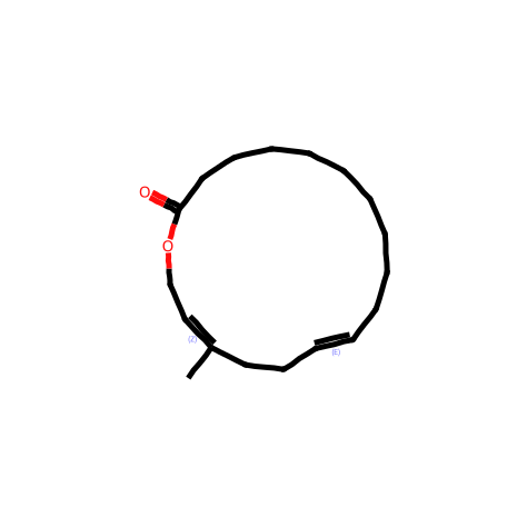 C/C1=C/COC(=O)CCCCCCCCC/C=C/CC1